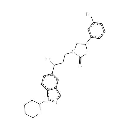 O=C1OC(c2cccc(Br)c2)CN1CCC(O)c1ccc2c(cnn2C2CCCCO2)c1